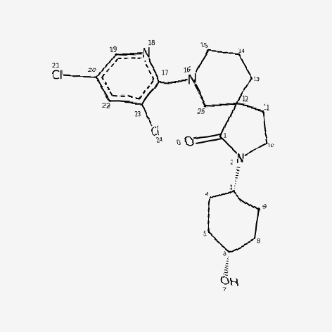 O=C1N([C@H]2CC[C@@H](O)CC2)CCC12CCCN(c1ncc(Cl)cc1Cl)C2